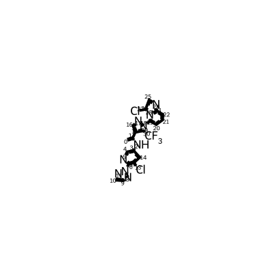 C=C(Nc1cnc(-n2nccn2)c(Cl)c1)c1cnn(-c2cccc3ncc(Cl)n23)c1C(F)(F)F